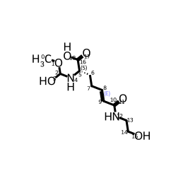 COC(O)N[C@@H](CC/C=C/C(=O)NCCO)C(=O)O